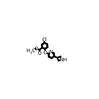 COC(=O)c1cc(Cl)ccc1Oc1ccc(C2CNC2)cn1